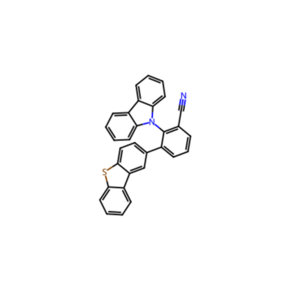 N#Cc1cccc(-c2ccc3sc4ccccc4c3c2)c1-n1c2ccccc2c2ccccc21